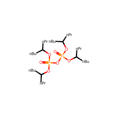 CCCCC(CCC)OP(=O)(OC(CCC)CCCC)OP(=O)(OC(CCC)CCCC)OC(CCC)CCCC